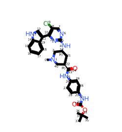 CN1C[C@H](Nc2ncc(Cl)c(-c3c[nH]c4ccccc34)n2)C[C@@H](C(=O)Nc2ccc(NC(=O)OC(C)(C)C)cc2)C1